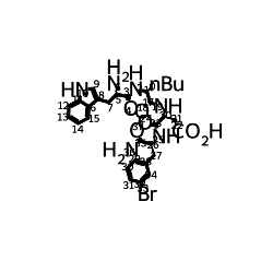 CCCC[C@H](NC(=O)[C@@H](N)Cc1c[nH]c2ccccc12)C(=O)N[C@@H](CC(=O)O)C(=O)N[C@@H](Cc1cccc(Br)c1)C(N)=O